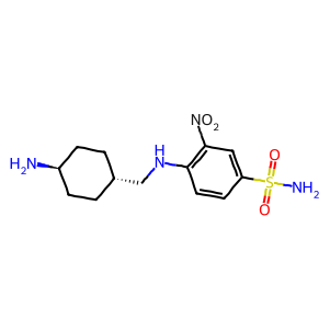 NS(=O)(=O)c1ccc(NC[C@H]2CC[C@H](N)CC2)c([N+](=O)[O-])c1